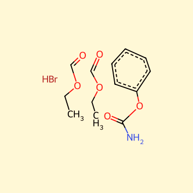 Br.CCOC=O.CCOC=O.NC(=O)Oc1ccccc1